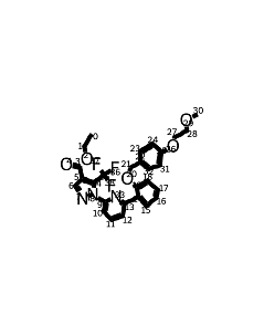 CCOC(=O)c1cnn(-c2cccc(-c3ccccc3OCc3ccc(OCCOC)cc3)n2)c1C(F)(F)F